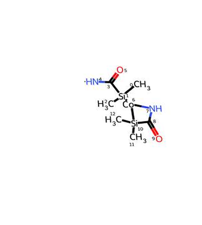 C[Si](C)(C([NH])=O)[Co]1[NH]C(=O)[Si]1(C)C